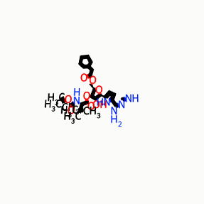 CC(C)(C)OC(=O)N[C@H](C(=O)O[C@H]1[C@@H](O)[C@H](c2ccc(/C(N)=N\C=N)[nH]2)O[C@@H]1COC(=O)CC1CCCCC1)C(C)(C)C